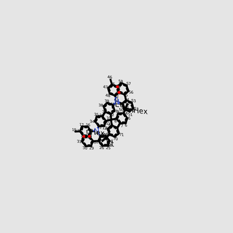 CCCCCCC(C)(CC)c1ccc2c(c1)C1(c3cc(N(c4ccc(C)cc4)c4ccccc4-c4ccccc4)ccc3-c3ccc(N(c4ccc(C)cc4)c4ccccc4-c4ccccc4)cc31)c1cc(C(C)(CC)CCCCCC)ccc1-2